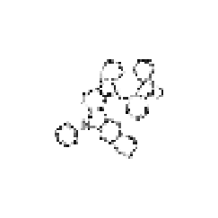 c1ccc(-n2c3cc4ccccc4cc3c3c2ccc2c4ccccc4n(-c4cccc5oc6ccccc6c45)c23)cc1